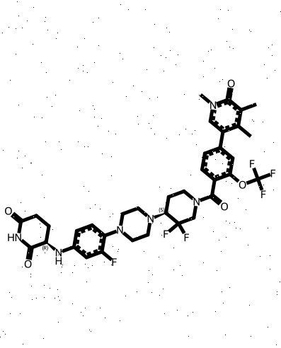 Cc1c(-c2ccc(C(=O)N3CC[C@H](N4CCN(c5ccc(N[C@@H]6CCC(=O)NC6=O)cc5F)CC4)C(F)(F)C3)c(OC(F)(F)F)c2)cn(C)c(=O)c1C